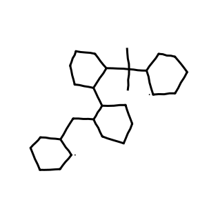 CC(C)(C1[CH]CCCC1)C1CCCCC1C1CCCCC1CC1[CH]CCCC1